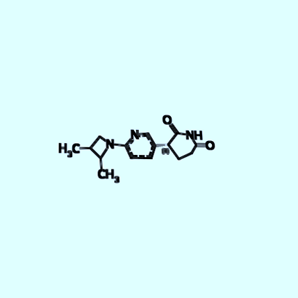 CC1CN(c2ccc([C@H]3CCC(=O)NC3=O)cn2)C1C